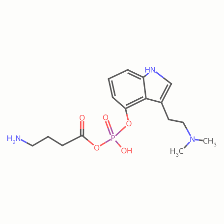 CN(C)CCc1c[nH]c2cccc(OP(=O)(O)OC(=O)CCCN)c12